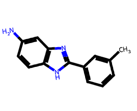 Cc1cccc(-c2nc3cc(N)ccc3[nH]2)c1